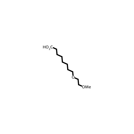 COCCOCCCCCCCC(=O)O